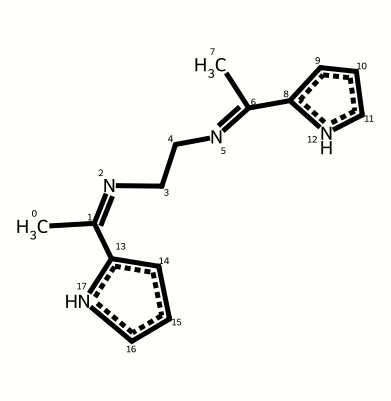 CC(=NCCN=C(C)c1ccc[nH]1)c1ccc[nH]1